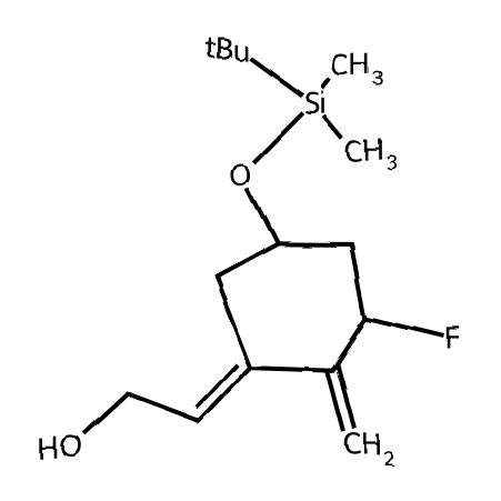 C=C1/C(=C/CO)CC(O[Si](C)(C)C(C)(C)C)CC1F